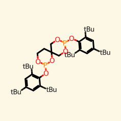 CC(C)(C)c1cc(C(C)(C)C)c(OP2OCC3(CCOP(Oc4c(C(C)(C)C)cc(C(C)(C)C)cc4C(C)(C)C)O3)CO2)c(C(C)(C)C)c1